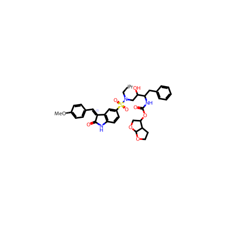 COc1ccc(/C=C2\C(=O)Nc3ccc(S(=O)(=O)N(CC(C)C)CC(O)C(Cc4ccccc4)NC(=O)OC4COC5OCCC45)cc32)cc1